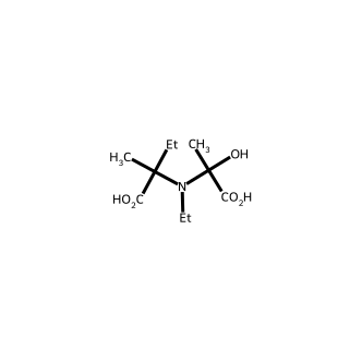 CCN(C(C)(O)C(=O)O)C(C)(CC)C(=O)O